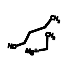 CCCCO.C[CH2][Mg+2]